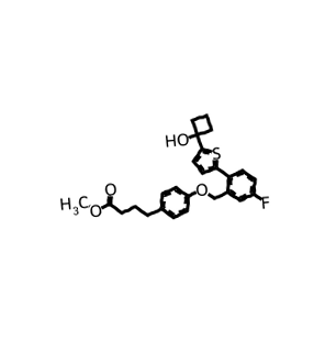 COC(=O)CCCc1ccc(OCc2cc(F)ccc2-c2ccc(C3(O)CCC3)s2)cc1